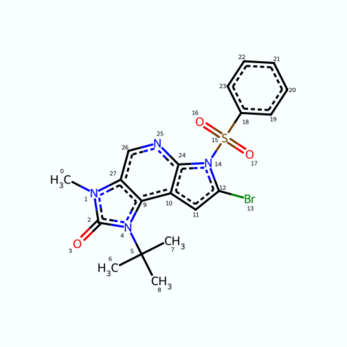 Cn1c(=O)n(C(C)(C)C)c2c3cc(Br)n(S(=O)(=O)c4ccccc4)c3ncc21